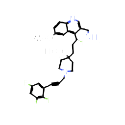 COc1ccc2ncc(CN)c([C@@H](F)CCC3(C(=O)O)CCN(CC#Cc4cc(F)cc(F)c4F)CC3)c2c1